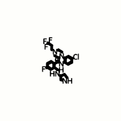 O=C(Nc1ccc(Cl)cc1N1CCN(CCC(F)(F)F)CC1)c1ccc(F)cc1CNC1CCNC1